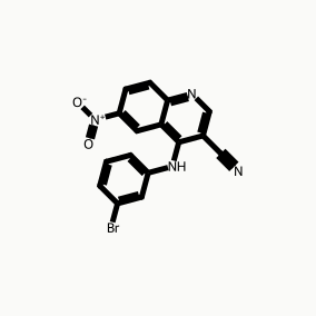 N#Cc1cnc2ccc([N+](=O)[O-])cc2c1Nc1cccc(Br)c1